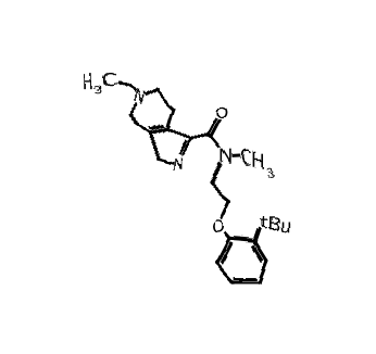 CN1CCC2=C(CN=C2C(=O)N(C)CCOc2ccccc2C(C)(C)C)C1